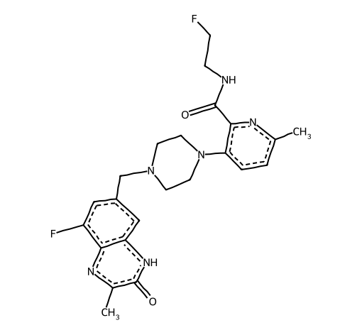 Cc1ccc(N2CCN(Cc3cc(F)c4nc(C)c(=O)[nH]c4c3)CC2)c(C(=O)NCCF)n1